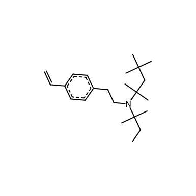 C=Cc1ccc(CCN(C(C)(C)CC)C(C)(C)CC(C)(C)C)cc1